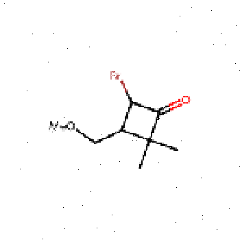 COCC1C(Br)C(=O)C1(C)C